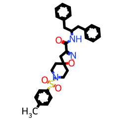 Cc1ccc(S(=O)(=O)N2CCC3(CC2)CC(C(=O)NC(Cc2ccccc2)Cc2ccccc2)=NO3)cc1